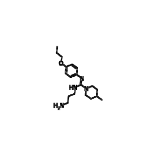 CCCOc1ccc(/N=C(\NCCCN)N2CCC(C)CC2)cc1